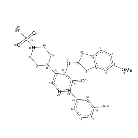 COc1ccc2c(c1)CC(Oc1c(N3CCN(S(=O)(=O)C(C)C)CC3)cnn(-c3cccc(F)c3)c1=O)C2